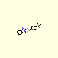 CC(C)(C)c1ccc(CSc2nc3ccccc3[nH]2)cc1